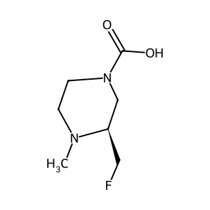 CN1CCN(C(=O)O)C[C@H]1CF